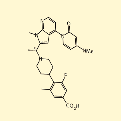 CNc1ccn(-c2ccnc3c2cc([C@@H](C)N2CCC(c4c(C)cc(C(=O)O)cc4F)CC2)n3C)c(=O)c1